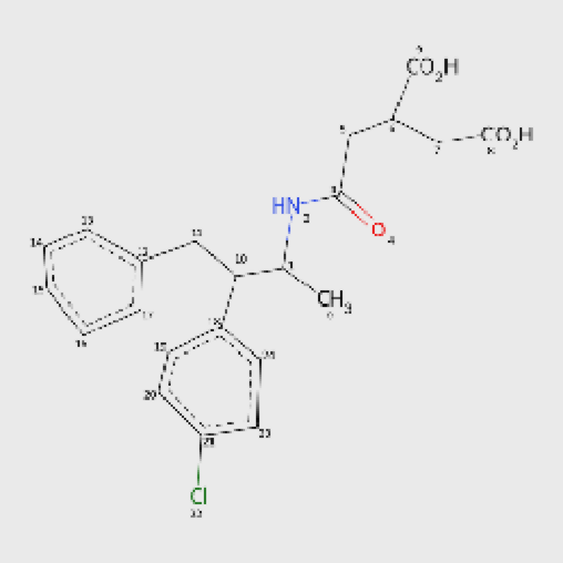 CC(NC(=O)CC(CC(=O)O)C(=O)O)C(Cc1ccccc1)c1ccc(Cl)cc1